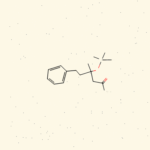 COC(=O)CC(C)(CCc1ccccc1)O[Si](C)(C)C(C)(C)C